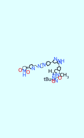 Cc1cc(-c2n[nH]c3ncc(-c4ccc(N5CCN(CCc6ccc([C@H]7CCC(=O)NC7=O)cn6)CC5)cc4)cc23)ccc1C(C)NC(=O)c1noc(C(C)(C)C)n1